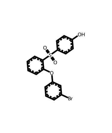 O=S(=O)(c1ccc(O)cc1)c1ccccc1Oc1cccc(Br)c1